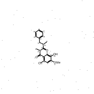 COc1cc(Cl)c(C(=O)N(C)C(=O)N(C)Cc2ccccc2)cc1O